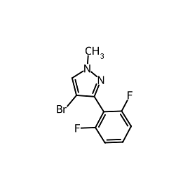 Cn1cc(Br)c(-c2c(F)cccc2F)n1